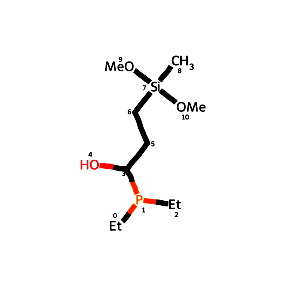 CCP(CC)C(O)CC[Si](C)(OC)OC